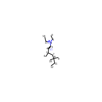 CCN(/C=C/C(C)CC(C)(C)CC)CC